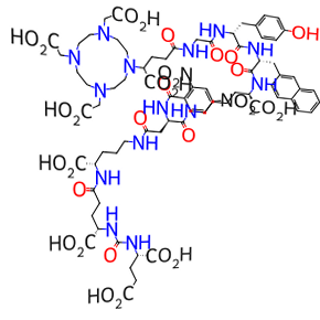 O=C(O)CC[C@H](NC(=O)N[C@@H](CCC(=O)N[C@@H](CCCNC(=O)C[C@@H](NC(=O)c1ccc([N+](=O)[O-])cc1[N+](=O)[O-])C(=O)NCCCC[C@@H](NC(=O)[C@@H](Cc1ccc2ccccc2c1)NC(=O)[C@@H](Cc1ccc(O)cc1)NC(=O)CNC(=O)CCC(C(=O)O)N1CCN(CC(=O)O)CCN(CC(=O)O)CCN(CC(=O)O)CC1)C(=O)O)C(=O)O)C(=O)O)C(=O)O